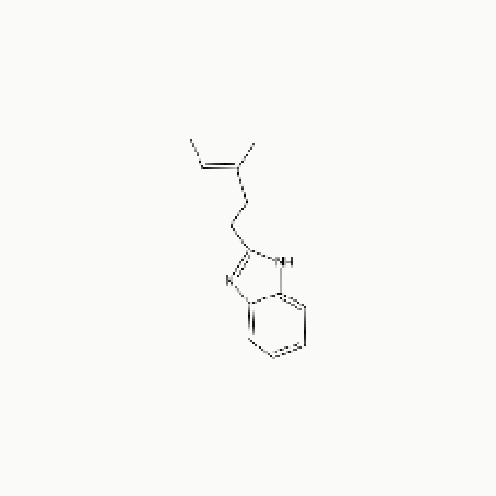 CC=C(C)CCc1nc2ccccc2[nH]1